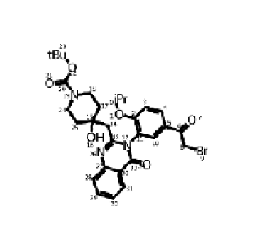 CC(C)Oc1ccc(C(=O)CBr)cc1-n1c(CC2(O)CCN(C(=O)OC(C)(C)C)CC2)nc2ccccc2c1=O